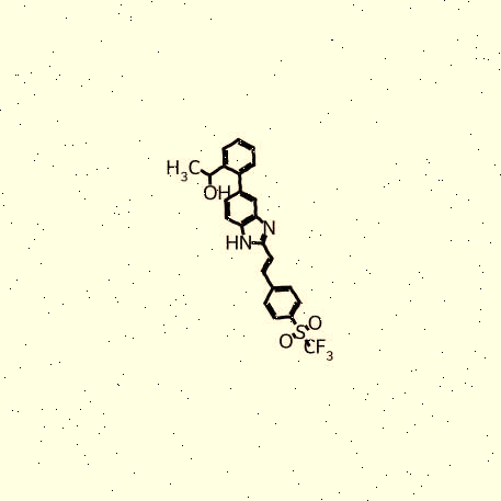 CC(O)c1ccccc1-c1ccc2[nH]c(/C=C/c3ccc(S(=O)(=O)C(F)(F)F)cc3)nc2c1